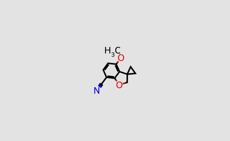 COc1ccc(C#N)c2c1C1(CC1)CO2